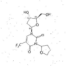 O=c1c(C(F)(F)F)cn([C@H]2C[C@H](O)[C@@H](CO)O2)c(=O)n1C1CCCO1